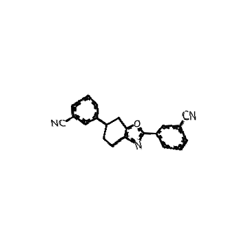 N#Cc1cccc(-c2nc3c(o2)CC(c2cccc(C#N)c2)CC3)c1